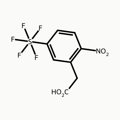 O=C(O)Cc1cc(S(F)(F)(F)(F)F)ccc1[N+](=O)[O-]